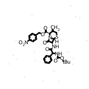 C=C1CS[C@@H]2[C@H](NC(=O)C(NC(=O)OC(C)(C)C)c3ccccc3)C(=O)N2[C@H]1C(=O)OCc1ccc([N+](=O)[O-])cc1